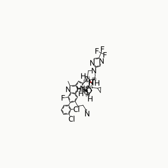 Cc1nc2c(F)c(-c3cccc(Cl)c3Cl)c(CCC#N)cc2c2c1cc([C@H]1[C@H]3C[C@H](CN(c4cnc(C(F)(F)F)cn4)C3)N1C(=O)C1CC1)n2[C@H]1[C@H]2CN[C@@H]1C2